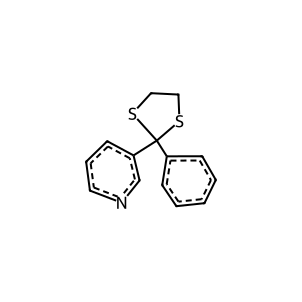 c1ccc(C2(c3cccnc3)SCCS2)cc1